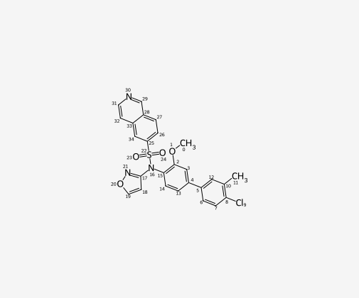 COc1cc(-c2ccc(Cl)c(C)c2)ccc1N(c1ccon1)S(=O)(=O)c1ccc2cnccc2c1